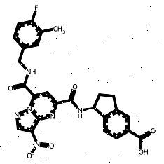 Cc1cc(CNC(=O)c2cc(C(=O)N[C@H]3CCc4cc(C(=O)O)ccc43)nc3c([N+](=O)[O-])cnn23)ccc1F